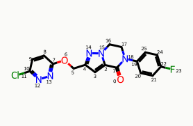 O=C1c2cc(COc3ccc(Cl)nn3)nn2CCN1c1ccc(F)cc1